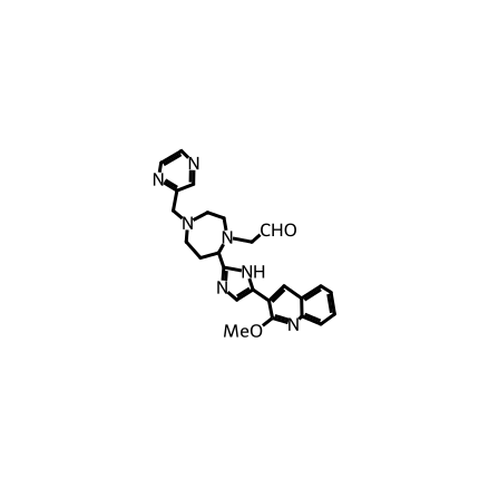 COc1nc2ccccc2cc1-c1cnc(C2CCN(Cc3cnccn3)CCN2CC=O)[nH]1